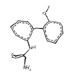 COc1ccccc1-c1ccccc1NC(N)=S